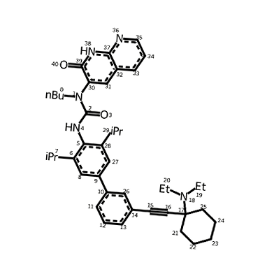 CCCCN(C(=O)Nc1c(C(C)C)cc(-c2cccc(C#CC3(N(CC)CC)CCCCC3)c2)cc1C(C)C)c1cc2cccnc2[nH]c1=O